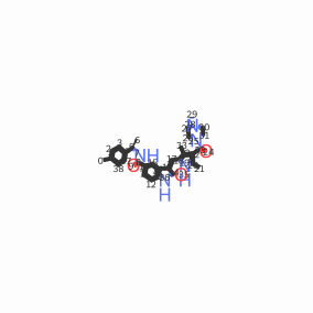 Cc1ccc([C@@H](C)NC(=O)c2ccc3c(c2)C(=Cc2[nH]c(C)c(C(=O)N4CCN(C)CC4)c2C)C(=O)N3)cc1